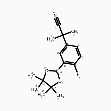 CC(C)(C#N)c1ccc(F)c(B2OC(C)(C)C(C)(C)O2)c1